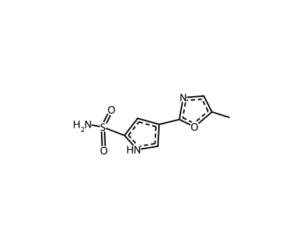 Cc1cnc(-c2c[nH]c(S(N)(=O)=O)c2)o1